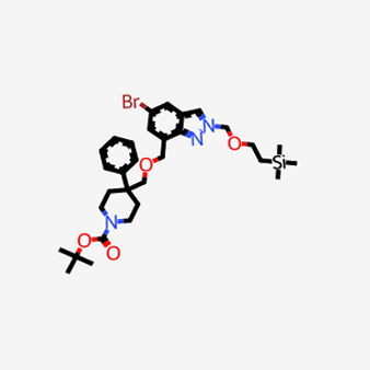 CC(C)(C)OC(=O)N1CCC(COCc2cc(Br)cc3cn(COCC[Si](C)(C)C)nc23)(c2ccccc2)CC1